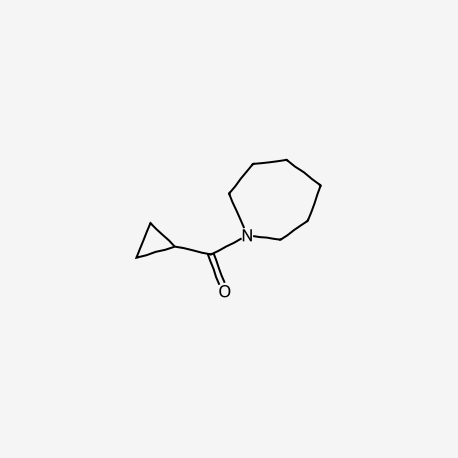 O=C(C1CC1)N1CCCCCC1